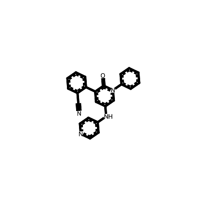 N#Cc1ccccc1-c1cc(Nc2ccncc2)cn(-c2ccccc2)c1=O